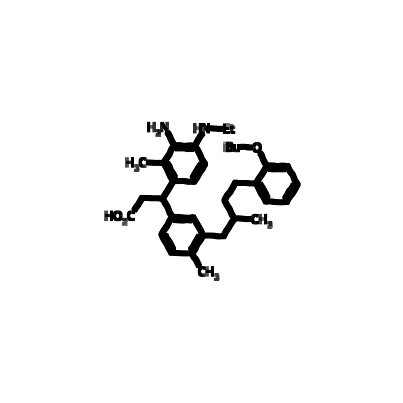 CCNc1ccc(C(CC(=O)O)c2ccc(C)c(CC(C)CCc3ccccc3OC(C)CC)c2)c(C)c1N